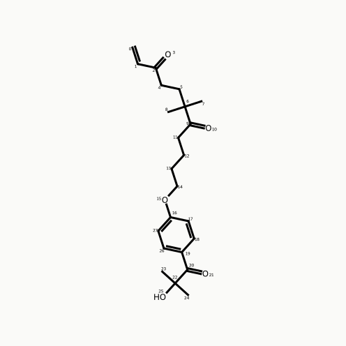 C=CC(=O)CCC(C)(C)C(=O)CCCCOc1ccc(C(=O)C(C)(C)O)cc1